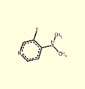 C[SH](C)c1ccncc1F